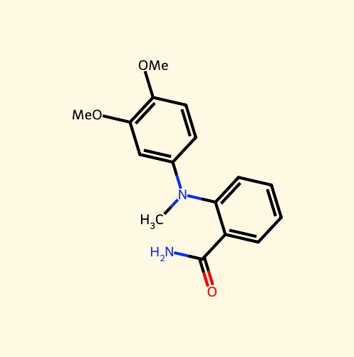 COc1ccc(N(C)c2ccccc2C(N)=O)cc1OC